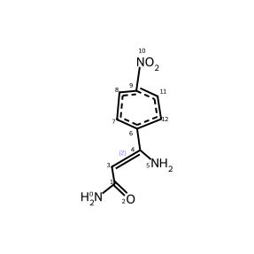 NC(=O)/C=C(\N)c1ccc([N+](=O)[O-])cc1